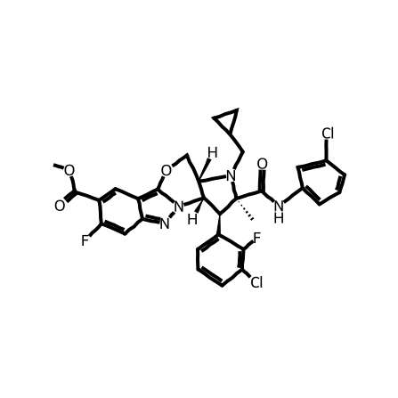 COC(=O)c1cc2c3n(nc2cc1F)[C@@H]1[C@H](CO3)N(CC2CC2)[C@@](C)(C(=O)Nc2cccc(Cl)c2)[C@H]1c1cccc(Cl)c1F